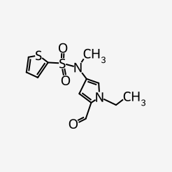 CCn1cc(N(C)S(=O)(=O)c2cccs2)cc1C=O